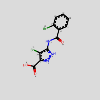 O=C(Nc1[nH]nc(C(=O)O)c1Br)c1ccccc1Br